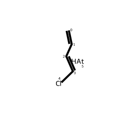 C=CC=CCl.[AtH]